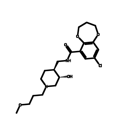 COCCCN1CC[C@@H](CNC(=O)c2cc(Cl)cc3c2OCCCO3)[C@H](O)C1